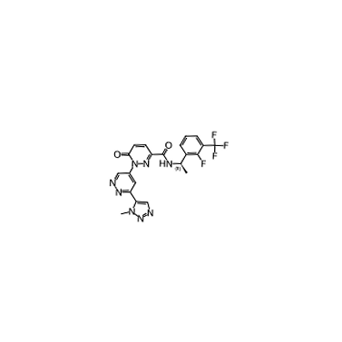 C[C@@H](NC(=O)c1ccc(=O)n(-c2cnnc(-c3cnnn3C)c2)n1)c1cccc(C(F)(F)F)c1F